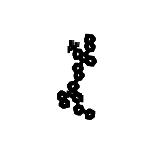 FC(F)(F)c1ccc2c(-c3ccc4cc(-c5ccc6c(c5)c5cnc(-c7cccc(-c8ccccc8)c7)cc5n6-c5cccc6ccccc56)ccc4c3)c3ccccc3c(-c3ccc4ccccc4c3)c2c1